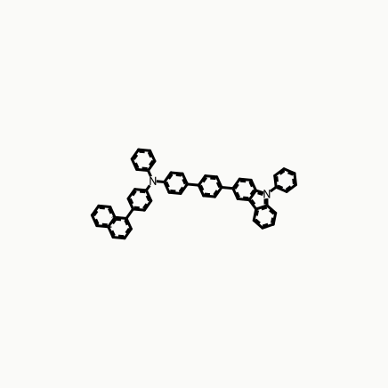 c1ccc(N(c2ccc(-c3ccc(-c4ccc5c(c4)c4ccccc4n5-c4ccccc4)cc3)cc2)c2ccc(-c3cccc4ccccc34)cc2)cc1